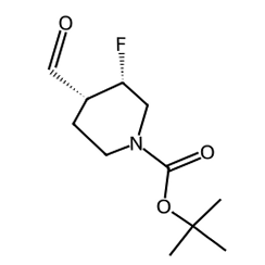 CC(C)(C)OC(=O)N1CC[C@H](C=O)[C@H](F)C1